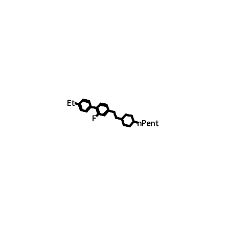 CCCCCC1CCC(CCc2ccc(-c3ccc(CC)cc3)c(F)c2)CC1